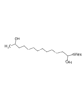 CCCCCCC(O)CCCCCCCCCCC(C)O